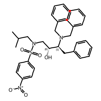 CC(C)CN(C[C@@H](O)[C@H](Cc1ccccc1)N(Cc1ccccc1)Cc1ccccc1)S(=O)(=O)c1ccc([N+](=O)[O-])cc1